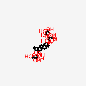 COC(=O)C1OC(OC2CCC3(C)C(CCC4(C)C3CC=C3C5CC(C)(C)CCC5(C(=O)OC5OC(CO)C(O)C(O)C5O)CCC34C)C2(C)C)C(O)C(OC2OCC(O)C(O)C2O)C1O